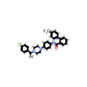 CC(=O)C(c1ccc(F)cc1)N1CCN(c2ccc(NC(=O)c3ccccc3-c3ccc(C(F)(F)F)cc3)cc2)CC1